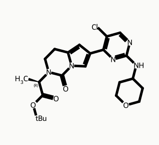 C[C@H](C(=O)OC(C)(C)C)N1CCc2cc(-c3nc(NC4CCOCC4)ncc3Cl)cn2C1=O